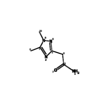 Cc1nc(CC(N)=O)nn1C